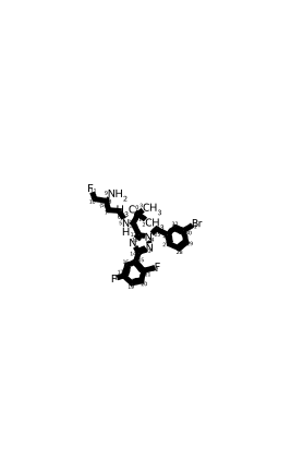 CC(C)(C)[C@@H](NCC[C@H](N)CF)c1nc(-c2cc(F)ccc2F)nn1Cc1cccc(Br)c1